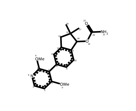 COc1ccnc(OC)c1-c1ccc2c(c1)CC(C)(C)C2OC(N)=O